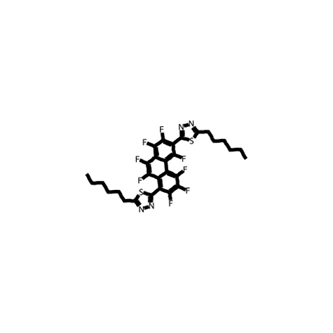 CCCCCCc1nnc(-c2c(F)c(F)c3c(F)c(F)c4c(-c5nnc(CCCCCC)s5)c(F)c(F)c(F)c4c3c2F)s1